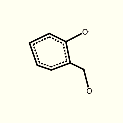 [O]Cc1ccccc1[O]